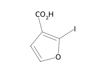 O=C(O)c1ccoc1I